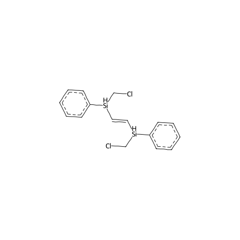 ClC[SiH](C=C[SiH](CCl)c1ccccc1)c1ccccc1